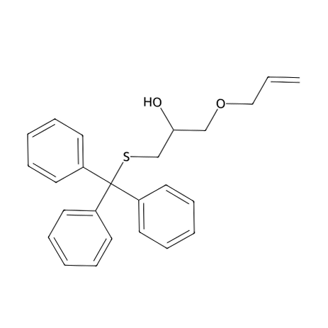 C=CCOCC(O)CSC(c1ccccc1)(c1ccccc1)c1ccccc1